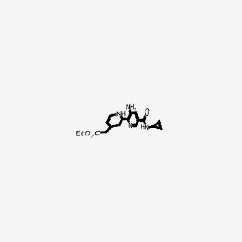 CCOC(=O)CC1CCNC(c2ncc(C(=O)NC3CC3)cc2N)C1